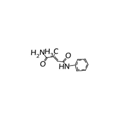 C/C(=C\C(=O)Nc1ccccc1)C(N)=O